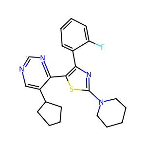 Fc1ccccc1-c1nc(N2CCCCC2)sc1-c1n[c]ncc1C1CCCC1